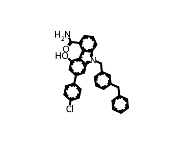 NC(=O)c1cccc2c1c1c(O)cc(-c3ccc(Cl)cc3)cc1n2Cc1cccc(Cc2ccccc2)c1